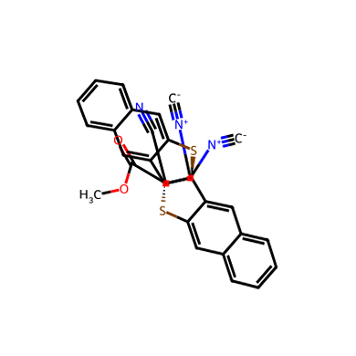 [C-]#[N+]C1([N+]#[C-])C(C#N)(C(=O)OC)[C@]23Sc4cc5ccccc5cc4[C@]12Sc1cc2ccccc2cc13